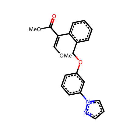 CO/C=C(/C(=O)OC)c1ccccc1COc1cccc(-n2cccn2)c1